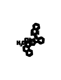 CC1(C)c2cc3c(cc2-c2c1ccc1ccccc21)c1ccccc1n3-c1ncc2ccccc2n1